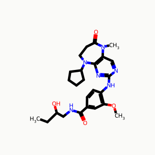 CCC(O)CNC(=O)c1ccc(Nc2ncc3c(n2)N(C2CCCC2)CCC(=O)N3C)c(OC)c1